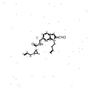 C=CCCn1c(C=O)cc2ccc([C@@H](C)NC(=O)[C@@H]3C[C@H]3CC=C)nc21